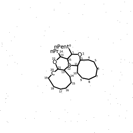 CCCCCC1OC2CCCCCCCC2B2C3CCCCCCCC3OC(CCC)C21